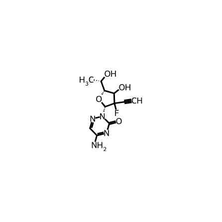 C#CC1(F)C(O)[C@@H]([C@H](C)O)O[C@H]1n1ncc(N)nc1=O